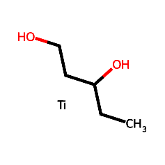 CCC(O)CCO.[Ti]